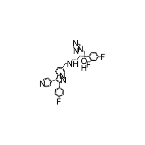 OC(CCCNCc1ccc2c(-c3ccncc3)c(-c3ccc(F)cc3)nn2c1)(Cn1cncn1)c1ccc(F)cc1F